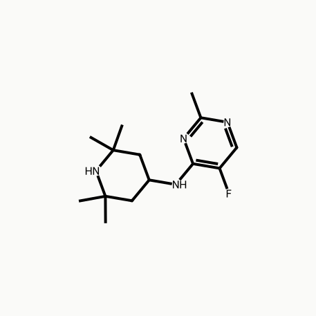 Cc1ncc(F)c(NC2CC(C)(C)NC(C)(C)C2)n1